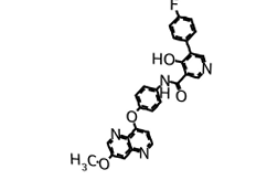 COc1cnc2c(Oc3ccc(NC(=O)c4cncc(-c5ccc(F)cc5)c4O)cc3)ccnc2c1